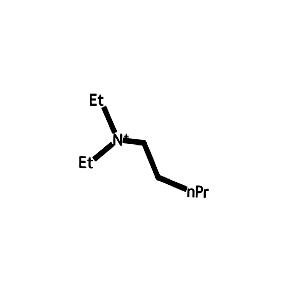 CCCCC[N+](CC)CC